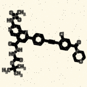 CC(C)(C)OC(=O)NNC(=O)c1cc(-c2ccc(C#Cc3ccc(C(=O)N4CCOCC4)cc3Cl)cc2)nc2cc(NS(C)(=O)=O)ncc12